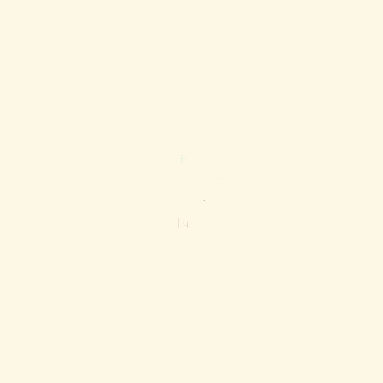 [CH2]C(F)C(F)(F)Br